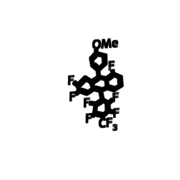 COc1ccc(-c2c3cc(F)c(F)cc3c(-c3c(F)c(F)c(C(F)(F)F)c(F)c3F)c3cccc(F)c23)cc1